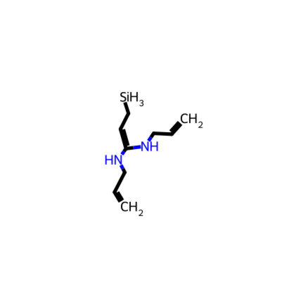 C=CCNC(=CC[SiH3])NCC=C